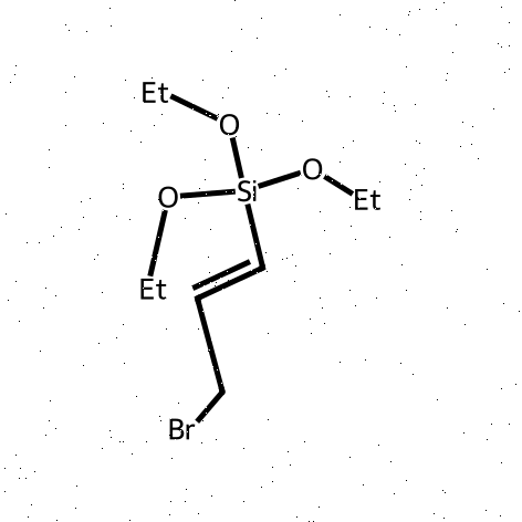 CCO[Si](C=CCBr)(OCC)OCC